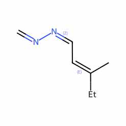 C=N/N=C\C=C(/C)CC